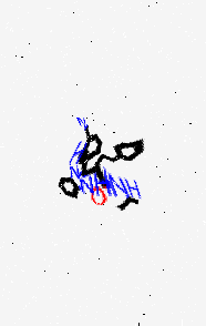 CC(C)NC(=O)C(CCc1ccccc1)C1(c2cccc(C#N)c2)Nc2ccccc2N1